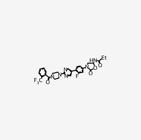 CCC(=O)NC1CN(c2ccc(-c3cnc(N4CCN(C(=O)c5ccccc5C(F)(F)F)CC4)nc3)c(F)c2)C(=O)O1